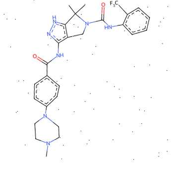 CN1CCN(c2ccc(C(=O)Nc3n[nH]c4c3CN(C(=O)Nc3ccccc3C(F)(F)F)C4(C)C)cc2)CC1